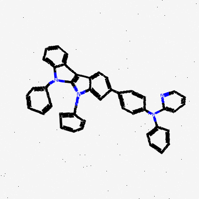 c1ccc(N(c2ccc(-c3ccc4c5c6ccccc6n(-c6ccccc6)c5n(-c5ccccc5)c4c3)cc2)c2ccccn2)cc1